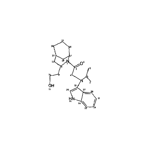 CC(C)C(CC(=O)N1C(CCO)CC2CCCC1C2)c1c[nH]c2ccccc12